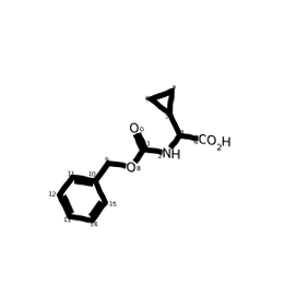 O=C(NC(C(=O)O)C1CC1)OCc1ccccc1